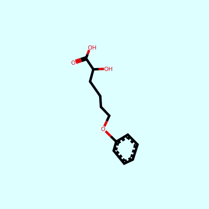 O=C(O)C(O)CCCCOc1ccccc1